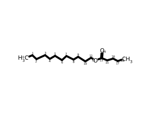 CCCCCCCCCCCCOC(=O)CCCC